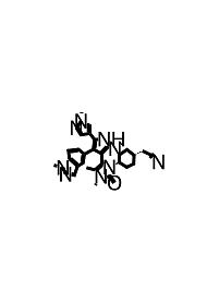 C=Nc1[nH]c(-c2cnn(C)c2)c(-c2ccc3c(cnn3C)c2)c1-c1c(C)n(C)c(=O)n1[C@H]1CC[C@@H](CC#N)CC1